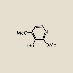 COc1ccnc(OC)c1C(C)(C)C